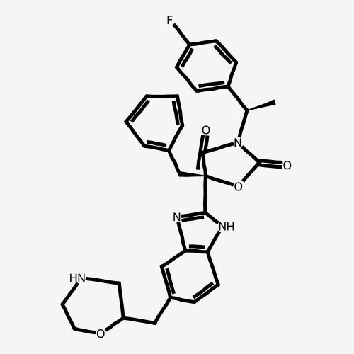 C[C@H](c1ccc(F)cc1)N1C(=O)O[C@](Cc2ccccc2)(c2nc3cc(CC4CNCCO4)ccc3[nH]2)C1=O